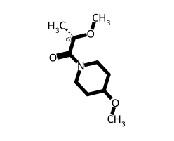 COC1CCN(C(=O)[C@H](C)OC)CC1